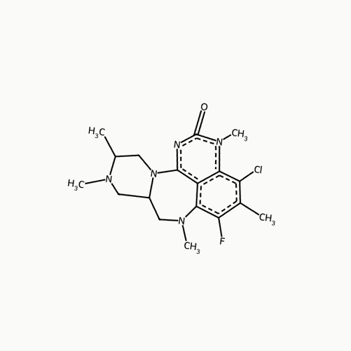 Cc1c(F)c2c3c(nc(=O)n(C)c3c1Cl)N1CC(C)N(C)CC1CN2C